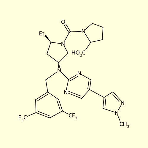 CC[C@@H]1C[C@H](N(Cc2cc(C(F)(F)F)cc(C(F)(F)F)c2)c2ncc(-c3cnn(C)c3)cn2)CN1C(=O)N1CCCC1C(=O)O